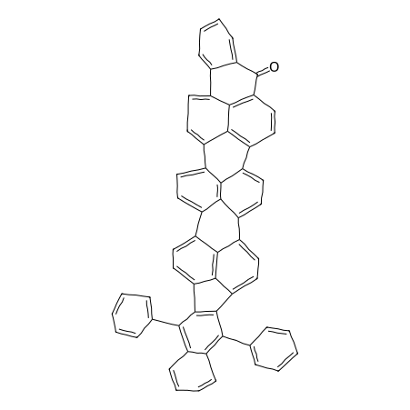 O=C1c2ccccc2-c2ccc3c4ccc5c6ccc7c8c(ccc(c9ccc(c%10ccc1c2c%103)c4c95)c86)-c1c-7c(-c2ccccc2)c2ccccc2c1-c1ccccc1